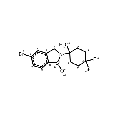 CC1(N2Cc3cc(Br)ccc3[S+]2[O-])CCC(F)(F)CC1